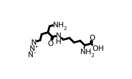 [N-]=[N+]=NCCC(CN)C(=O)NCCCC[C@H](N)C(=O)O